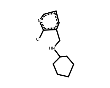 Clc1ncccc1CNC1CCCCC1